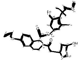 CCOc1ccc2c(c1)CCN(C(=O)Cc1cc(O)no1)[C@H]2C(=O)Nc1cc(F)c(C(C)(C)COC)c(F)c1